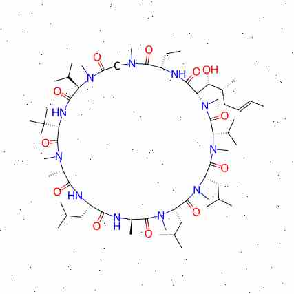 C/C=C/C[C@@H](C)[C@@H](O)[C@H]1C(=O)N[C@@H](CC)C(=O)N(C)CC(=O)N(C)[C@H](C(C)C)C(=O)N[C@@H](C(C)(C)C)C(=O)N(C)[C@@H](C)C(=O)N[C@@H](CC(C)C)C(=O)N[C@H](C)C(=O)N(C)[C@@H](CC(C)C)C(=O)N(C)[C@@H](CC(C)C)C(=O)N(C)[C@@H](C(C)C)C(=O)N1C